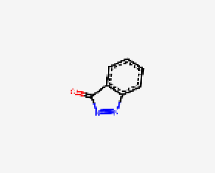 O=C1N=Nc2cc[c]cc21